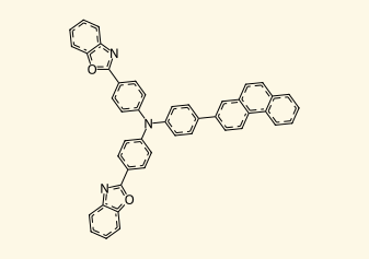 c1ccc2c(c1)ccc1cc(-c3ccc(N(c4ccc(-c5nc6ccccc6o5)cc4)c4ccc(-c5nc6ccccc6o5)cc4)cc3)ccc12